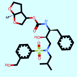 CC(C)CN(C[C@@H](O)[C@H](Cc1ccccc1)NC(=O)OC1CO[C@H]2OCCC12)S(=O)(=O)c1cccc(CO)c1